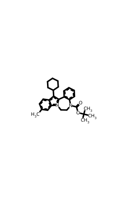 Cc1ccc2c(C3CCCCC3)c3n(c2c1)CCN(C(=O)OC(C)(C)C)c1ccccc1-3